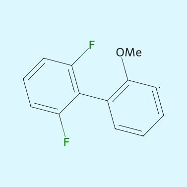 COc1[c]cccc1-c1c(F)cccc1F